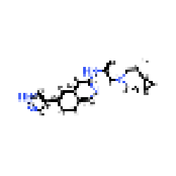 C=C(CN(CCC)C[C@H](C)C1CC1)Nc1cc2cc(-c3cn[nH]c3)ccc2cn1